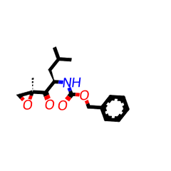 CC(C)C[C@@H](NC(=O)OCc1ccccc1)C(=O)[C@]1(C)CO1